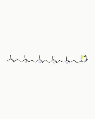 CC(C)=CCC/C(C)=C/CC/C(C)=C/CC/C(C)=C/CC/C(C)=C/CCc1cccs1